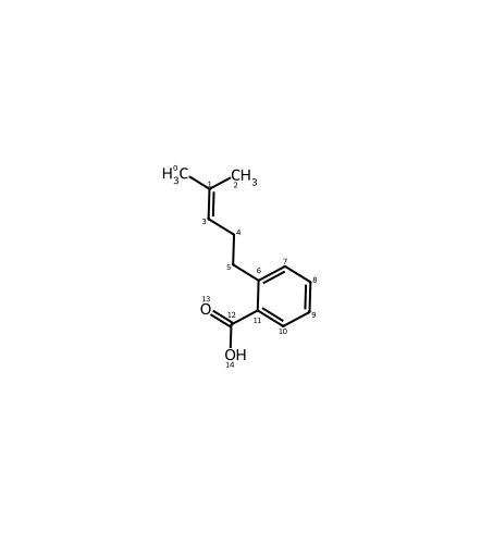 CC(C)=CCCc1ccccc1C(=O)O